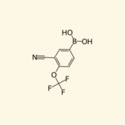 N#Cc1cc(B(O)O)ccc1OC(F)(F)F